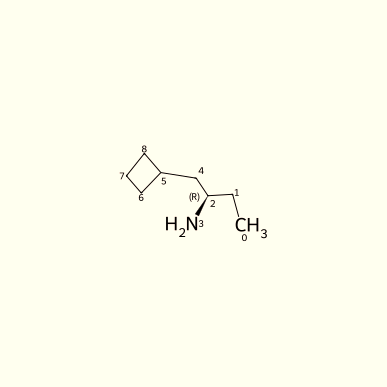 CC[C@@H](N)CC1CCC1